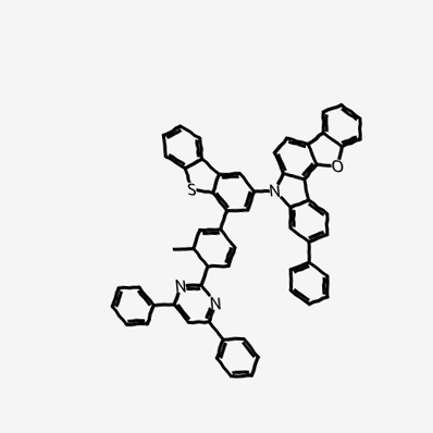 CC1C=C(c2cc(-n3c4cc(-c5ccccc5)ccc4c4c5oc6ccccc6c5ccc43)cc3c2sc2ccccc23)C=CC1c1nc(-c2ccccc2)cc(-c2ccccc2)n1